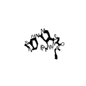 C#CCN(C)C(=O)c1csc(-c2cnc(Nc3ccc4ncsc4c3)cc2NC(C)C)n1